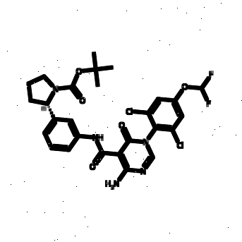 CC(C)(C)OC(=O)N1CCC[C@H]1c1cccc(NC(=O)c2c(N)ncn(-c3c(Cl)cc(OC(F)F)cc3Cl)c2=O)c1